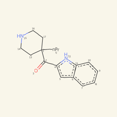 CCCC1(C(=O)c2cc3ccccc3[nH]2)CCNCC1